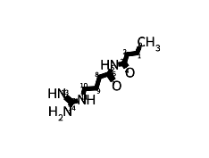 CCCC(=O)NC(=O)CCCNC(=N)N